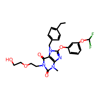 CCc1ccc(Cn2c(Oc3cccc(OC(F)F)c3)nc3c2c(=O)n(CCOCCO)c(=O)n3C)cc1